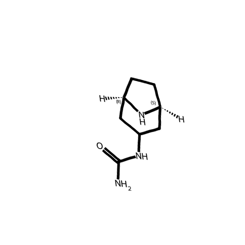 NC(=O)NC1C[C@H]2CC[C@@H](C1)N2